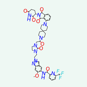 COc1cc2nn(CCN3CCN(CC(=O)N4CCC5(CC4)CCN(c4cccc6c4C(=O)N(C4CCC(=O)NC4=O)C6=O)CC5)C3=O)cc2cc1NC(=O)c1cccc(C(F)(F)F)n1